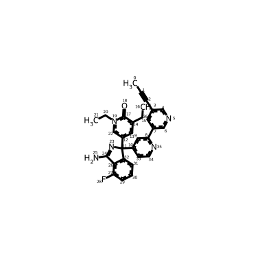 CC#Cc1cncc(-c2cc(C3(c4cc(CC)c(=O)n(CC)c4)N=C(N)c4c(F)cccc43)ccn2)c1